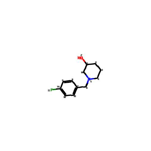 OC1CCCN(Cc2ccc(F)cc2)C1